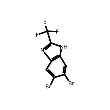 FC(F)(F)c1nc2cc(Br)c(Br)cc2[nH]1